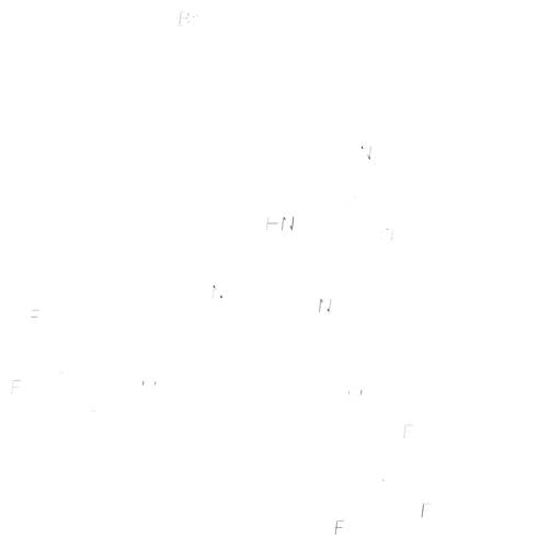 CN(C(=O)Nc1nc(OCC(F)(F)F)cc(OCC(F)(F)F)n1)c1ccc(Br)cc1